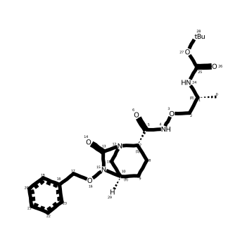 C[C@H](CONC(=O)[C@@H]1CC[C@@H]2CN1C(=O)N2OCc1ccccc1)NC(=O)OC(C)(C)C